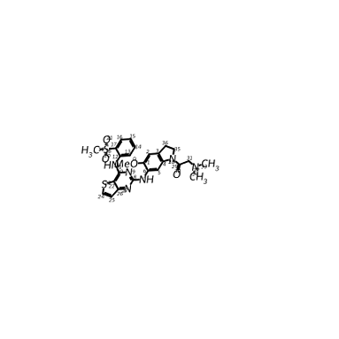 COc1cc2c(cc1Nc1nc(Nc3ccccc3S(C)(=O)=O)c3sccc3n1)N(C(=O)CN(C)C)CC2